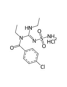 CCNC(=NS(N)(=O)=O)N(CC)C(=O)c1ccc(Cl)cc1.Cl